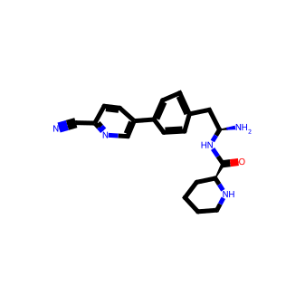 N#Cc1ccc(-c2ccc(C[C@@H](N)NC(=O)[C@@H]3CCCCN3)cc2)cn1